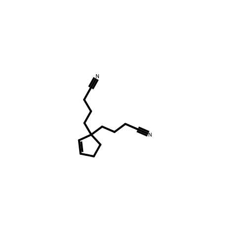 N#CCCCC1(CCCC#N)C=CCC1